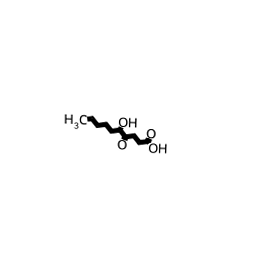 CCCCCC(O)C(=O)CCC(=O)O